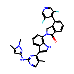 Cc1cnc(Nc2cc(C)n(C)n2)nc1-c1c[nH]c2c(N3Cc4c(cccc4-c4c(F)cncc4F)C3=O)cccc12